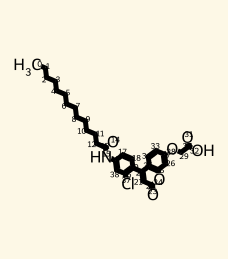 CCCCCCCCCCCCCC(=O)Nc1ccc(-c2cc(=O)oc3cc(OCC(=O)O)ccc23)c(Cl)c1